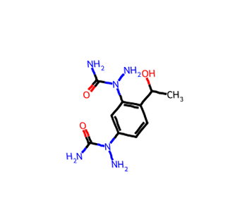 CC(O)c1ccc(N(N)C(N)=O)cc1N(N)C(N)=O